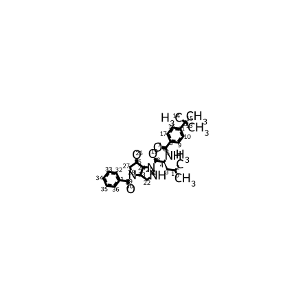 CC(C)C[C@H](NC(=O)c1ccc(C(C)(C)C)cc1)C(=O)N1NCC2C1C(=O)CN2C(=O)c1ccccc1